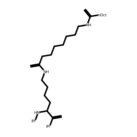 C=C(CCCCCCCC)NCCCCCCCC(=C)NCCCCC(NC(C)C)C(=C)C(C)C